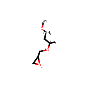 CC(C)O[SiH2]CC(C)OCC1CO1